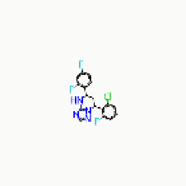 Fc1ccc(C2CC(c3c(F)cccc3Cl)n3ncnc3N2)c(F)c1